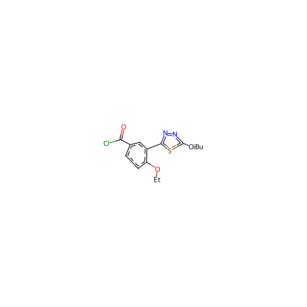 CCOc1ccc(C(=O)Cl)cc1-c1nnc(OCC(C)C)s1